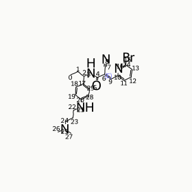 CCC(NC(=O)/C(C#N)=C/c1cccc(Br)n1)c1ccc(NCCCN(C)C)cc1